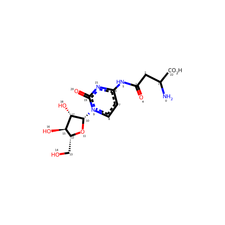 NC(CC(=O)Nc1ccn([C@@H]2O[C@H](CO)[C@@H](O)[C@@H]2O)c(=O)n1)C(=O)O